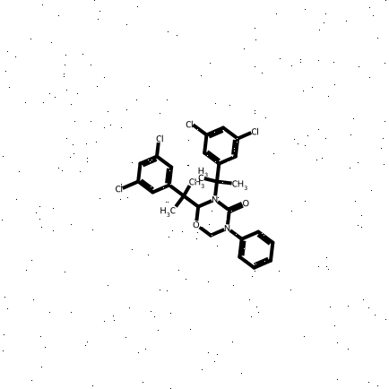 CC(C)(c1cc(Cl)cc(Cl)c1)C1OCN(c2ccccc2)C(=O)N1C(C)(C)c1cc(Cl)cc(Cl)c1